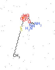 CCCCCCCCCCCCCCCCSSCCCCOP(=O)(O)COC(CO)COc1cc(N)nc(N)n1